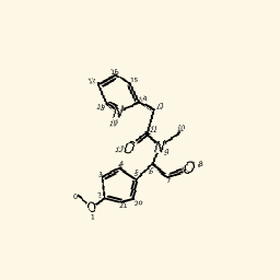 COc1ccc(C(C=O)N(C)C(=O)Cc2ccccn2)cc1